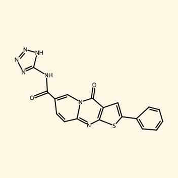 O=C(Nc1nnn[nH]1)c1ccc2nc3sc(-c4ccccc4)cc3c(=O)n2c1